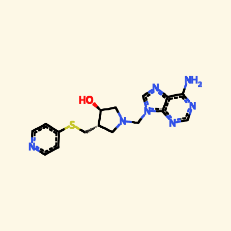 Nc1ncnc2c1ncn2CN1C[C@H](CSc2ccncc2)[C@@H](O)C1